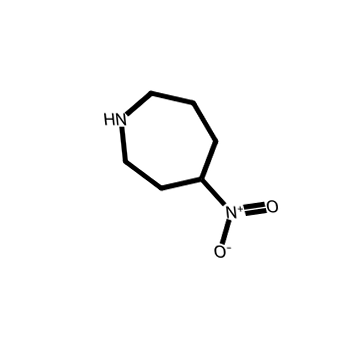 O=[N+]([O-])C1CCCNCC1